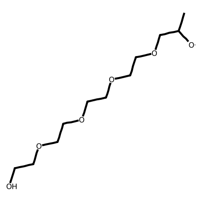 CC([O])COCCOCCOCCOCCO